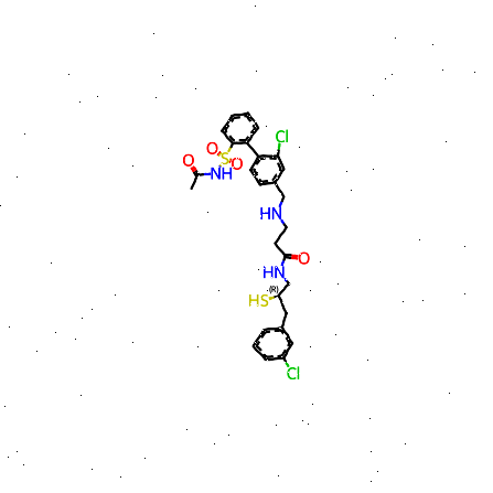 CC(=O)NS(=O)(=O)c1ccccc1-c1ccc(CNCCC(=O)NC[C@H](S)Cc2cccc(Cl)c2)cc1Cl